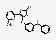 CCc1nc(-c2cccc(C)n2)c(Oc2ccnc(Nc3ccncc3)c2)s1